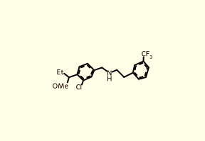 CCC(OC)c1ccc(CNCCc2cccc(C(F)(F)F)c2)cc1Cl